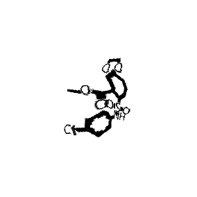 CCOC(=O)C1=CC2(CCC1S(=O)(=O)Nc1ccc(Cl)cc1)OCCO2